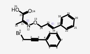 BrCC#Cc1ccccc1.C/C(=N/OC/C=C/c1ccccc1)C(=O)O